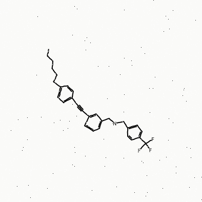 CCCCCCc1ccc(C#Cc2cccc(C[N]Cc3ccc(C(F)(F)F)cc3)c2)cc1